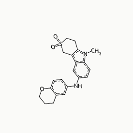 Cn1c2c(c3cc(Nc4ccc5c(c4)CCCO5)ccc31)CS(=O)(=O)CC2